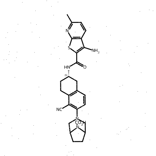 Cc1ccc2c(N)c(C(=O)N[C@H]3CCc4c(ccc(N5CC6CCC(C5)N6C(=O)O)c4C#N)C3)sc2n1